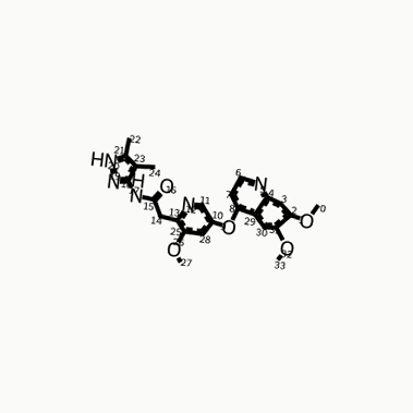 COc1cc2nccc(Oc3cnc(CC(=O)Nc4n[nH]c(C)c4C)c(OC)c3)c2cc1OC